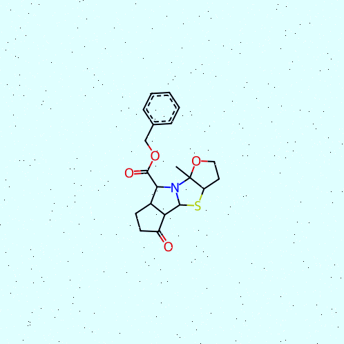 CC12OCCC1SC1C3C(=O)CCC3C(C(=O)OCc3ccccc3)N12